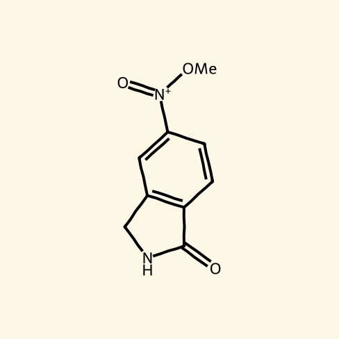 CO[N+](=O)c1ccc2c(c1)CNC2=O